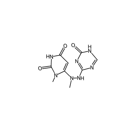 CN(Nc1nc[nH]c(=O)n1)c1cc(=O)[nH]c(=O)n1C